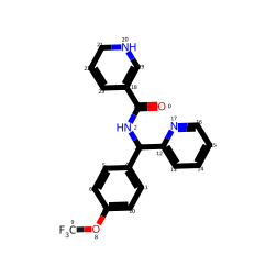 O=C(NC(c1ccc(OC(F)(F)F)cc1)c1ccccn1)C1=CNCC=C1